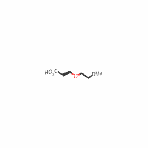 COCCOC=CC(=O)O